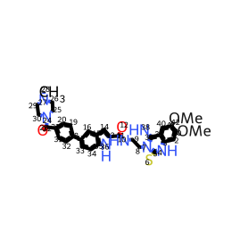 COc1cc2[nH]c(=S)n(CCNC(=O)c3cc4cc(-c5ccc(C(=O)N6CCN(C)CC6)cc5)ccc4[nH]3)c(=N)c2cc1OC